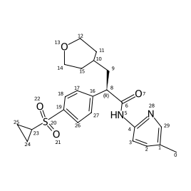 Cc1ccc(NC(=O)[C@H](CC2CCOCC2)c2ccc(S(=O)(=O)C3CC3)cc2)nc1